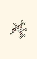 [C-]#[N+]c1ccc2c(c1)c1ccccc1n2-c1ccc2c(c1)N(c1c(-c3ccccc3)cc(-c3ccccc3)cc1-c1ccccc1)c1cc(-c3ccc4c(c3)c3cccc5c6ccccc6n4c53)cc3c1B2c1ccc(-c2cc4c5ccccc5n5c6ccccc6c(c2)c45)cc1N3c1c(-c2ccccc2)cc(-c2ccccc2)cc1-c1ccccc1